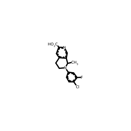 CC1c2cnc(C(=O)O)cc2CCN1c1ccc(Cl)c(F)c1